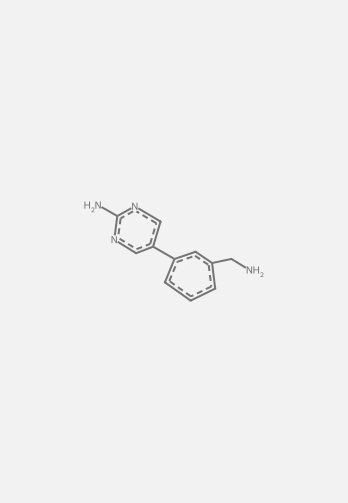 NCc1cccc(-c2cnc(N)nc2)c1